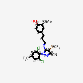 COc1cc(/C=C/C=N/c2c(SC(F)(F)F)c(C#N)nn2-c2c(Cl)cc(C(F)(F)F)cc2Cl)ccc1O